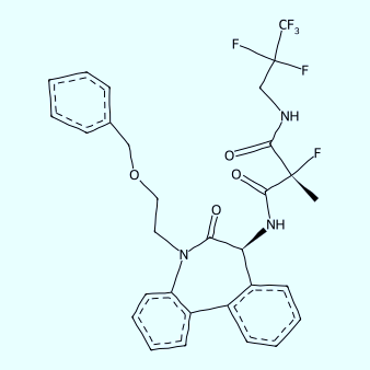 C[C@](F)(C(=O)NCC(F)(F)C(F)(F)F)C(=O)N[C@@H]1C(=O)N(CCOCc2ccccc2)c2ccccc2-c2ccccc21